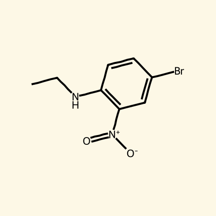 CCNc1ccc(Br)cc1[N+](=O)[O-]